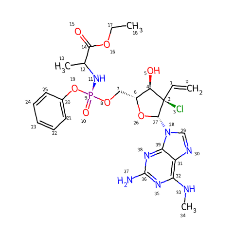 C=C[C@@]1(Cl)[C@H](O)[C@@H](CO[P@@](=O)(NC(C)C(=O)OCC)Oc2ccccc2)O[C@H]1n1cnc2c(NC)nc(N)nc21